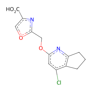 O=C(O)c1coc(COc2cc(Cl)c3c(n2)CCC3)n1